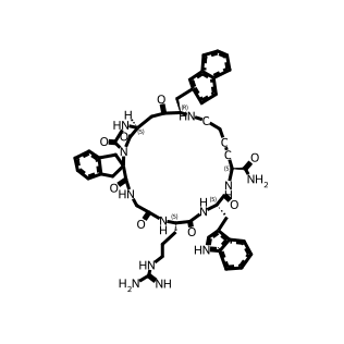 N=C(N)NCCC[C@@H]1NC(=O)CNC(=O)C2(Cc3ccccc3C2)N2C(=O)N[C@@H](CC(=O)[C@@H](Cc3ccc4ccccc4c3)NCCCC[C@@H](C(N)=O)NC(=O)[C@H](Cc3c[nH]c4ccccc34)NC1=O)C2=O